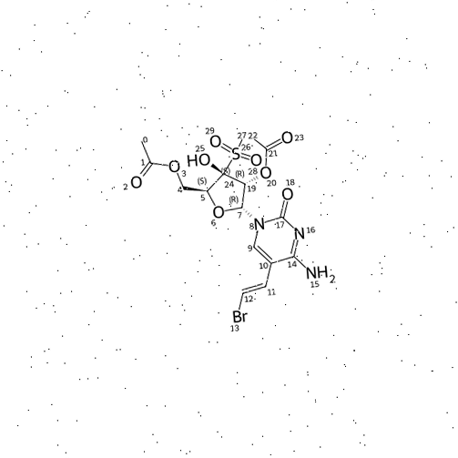 CC(=O)OC[C@@H]1O[C@@H](n2cc(C=CBr)c(N)nc2=O)[C@@H](OC(C)=O)[C@@]1(O)S(C)(=O)=O